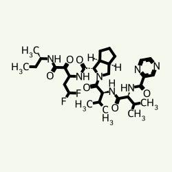 CC[C@H](C)NC(=O)C(=O)C(CC(F)F)NC(=O)[C@@H]1[C@H]2CCC[C@H]2CN1C(=O)[C@@H](NC(=O)[C@H](NC(=O)c1cnccn1)C(C)C)C(C)C